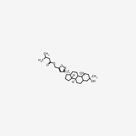 CC(C)CC(=O)OCc1cc([C@H]2CC[C@H]3[C@@H]4CCC5C[C@](C)(O)CC[C@]5(C)C4CC[C@]23C)no1